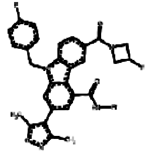 CCNC(=O)c1cc(-c2c(C)noc2C)cc2c1c1cc(C(=O)N3CC(F)C3)ccc1n2Cc1ccc(F)cc1